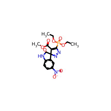 CCOP(=O)(OCC)C1=C(C(=O)OC)C2(N=N1)C(=O)Nc1ccc([N+](=O)[O-])cc12